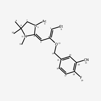 CC/C=C(/C=C1\N(C(C)=O)CC(C)(C)N1C)OCc1ccc(F)c(C#N)c1